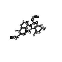 CCOC(=O)C(=O)C(C)c1ccnc(N(Cc2ccc(F)cc2C)C(=O)OC(C)(C)C)c1[N+](=O)[O-]